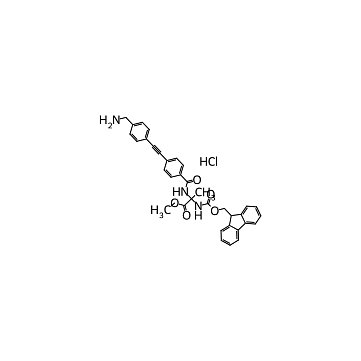 COC(=O)C(C)(NC(=O)OCC1c2ccccc2-c2ccccc21)NC(=O)c1ccc(C#Cc2ccc(CN)cc2)cc1.Cl